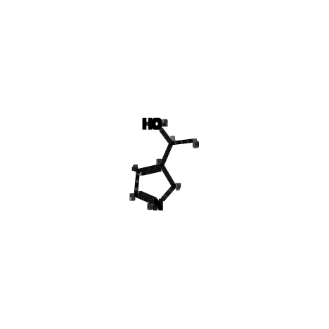 CC(O)C1=CC=NC1